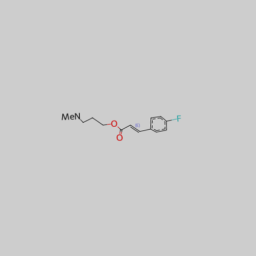 CNCCCOC(=O)/C=C/c1ccc(F)cc1